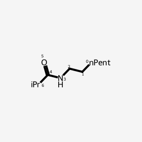 CCCCCCCNC(=O)C(C)C